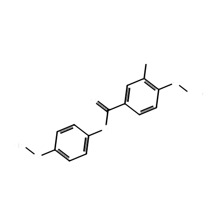 CCCCCCCCOc1ccc(C(=O)Oc2ccc(OCCC)cc2)cc1F